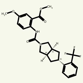 COC(=O)c1cc(OC)ccc1NC(=O)N1C[C@H]2C[C@H](c3ccccc3C(F)(F)F)C[C@H]2C1